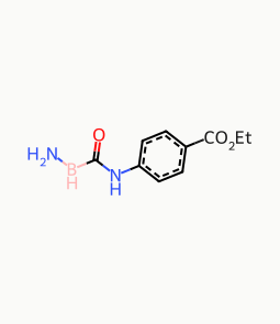 CCOC(=O)c1ccc(NC(=O)BN)cc1